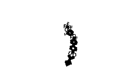 Fc1cc(OC(F)(F)c2ccc(C3CCC(C4OCC(C5CCC5)CO4)CC3)cc2)cc(F)c1OC(F)(F)F